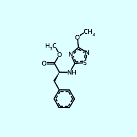 COC(=O)[C@H](Cc1ccccc1)Nc1nc(OC)ns1